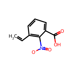 C=Cc1cccc(C(=O)O)c1[N+](=O)[O-]